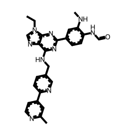 CCn1cnc2c(NCc3ccc(-c4ccnc(C)c4)nc3)nc(-c3ccc(NC=O)c(NC)c3)nc21